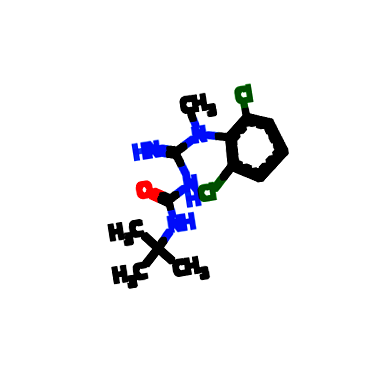 CN(C(=N)NC(=O)NC(C)(C)C)c1c(Cl)cccc1Cl